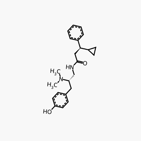 CN(C)[C@H](CNC(=O)C[C@@H](c1ccccc1)C1CC1)Cc1ccc(O)cc1